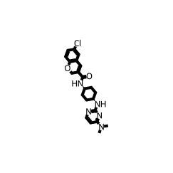 CN(C)c1ccnc(N[C@H]2CC[C@@H](NC(=O)C3=Cc4cc(Cl)ccc4OC3)CC2)n1